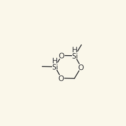 C[SiH]1OCO[SiH](C)O1